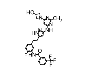 Cc1nc(Nc2cc(CCc3ccc(F)c(NC(=O)c4cccc(C(F)(F)F)c4)c3)[nH]n2)cc(N2CC(O)C2)n1